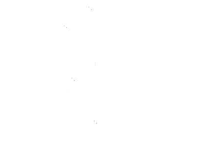 COc1cccc(S(=O)(=O)n2ccc(C(=O)NCc3c(C)cc(N)nc3C)c2)c1